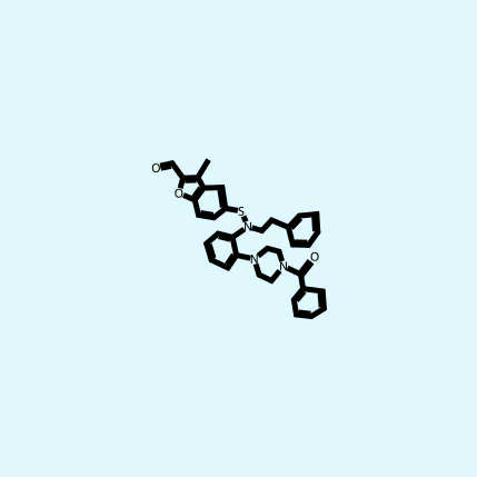 Cc1c(C=O)oc2ccc(SN(CCc3ccccc3)c3ccccc3N3CCN(C(=O)c4ccccc4)CC3)cc12